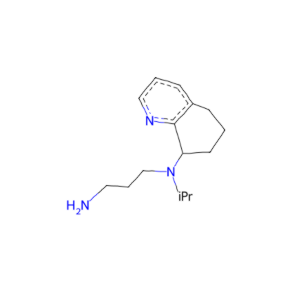 CC(C)N(CCCN)C1CCCc2cccnc21